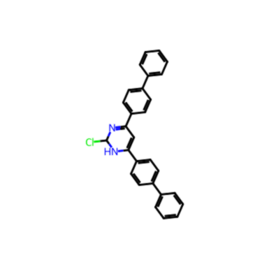 ClC1N=C(c2ccc(-c3ccccc3)cc2)C=C(c2ccc(-c3ccccc3)cc2)N1